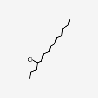 CCCCCCC[CH]CCC(Cl)CCC